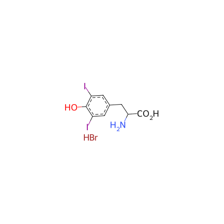 Br.NC(Cc1cc(I)c(O)c(I)c1)C(=O)O